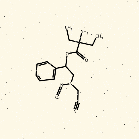 CCC(N)(CC)C(=O)OC(CN(CC#N)N=O)c1ccccc1